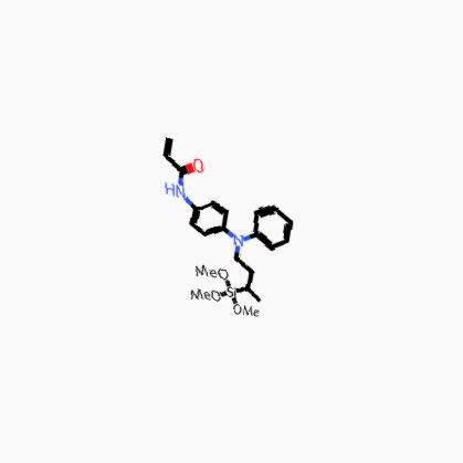 C=CC(=O)Nc1ccc(N(CCC(C)[Si](OC)(OC)OC)c2ccccc2)cc1